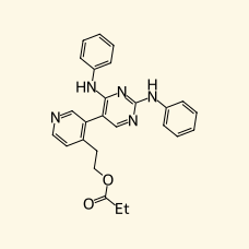 CCC(=O)OCCc1ccncc1-c1cnc(Nc2ccccc2)nc1Nc1ccccc1